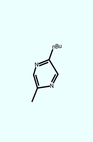 [CH2]CCCc1cnc(C)cn1